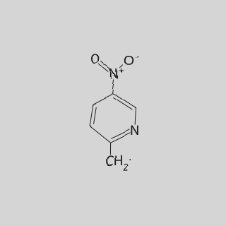 [CH2]c1ccc([N+](=O)[O-])cn1